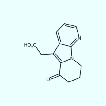 O=C(O)Cc1c2n(c3ncccc13)CCCC2=O